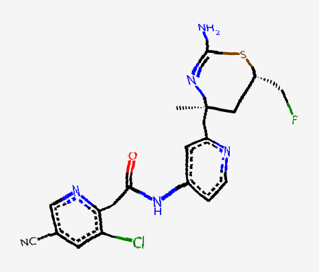 C[C@@]1(c2cc(NC(=O)c3ncc(C#N)cc3Cl)ccn2)C[C@@H](CF)SC(N)=N1